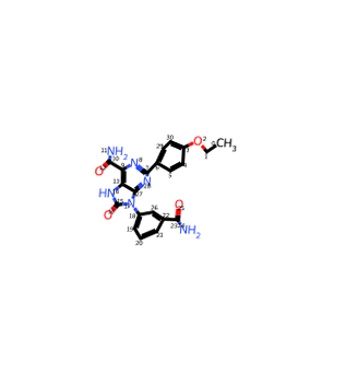 CCOc1ccc(-c2nc(C(N)=O)c3[nH]c(=O)n(-c4cccc(C(N)=O)c4)c3n2)cc1